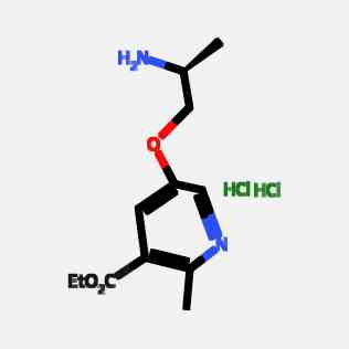 CCOC(=O)c1cc(OC[C@H](C)N)cnc1C.Cl.Cl